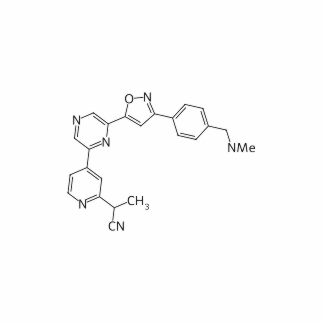 CNCc1ccc(-c2cc(-c3cncc(-c4ccnc(C(C)C#N)c4)n3)on2)cc1